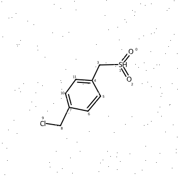 O=[SH](=O)Cc1ccc(CCl)cc1